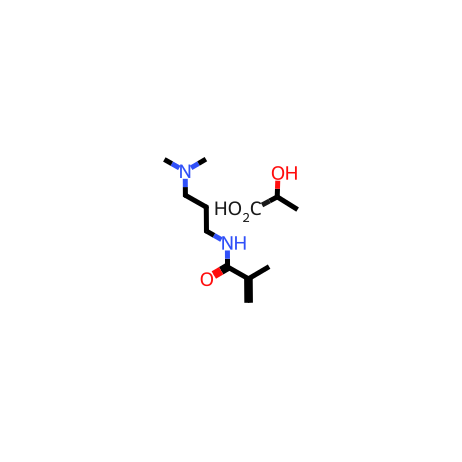 C=C(C)C(=O)NCCCN(C)C.CC(O)C(=O)O